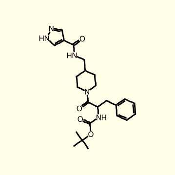 CC(C)(C)OC(=O)NC(Cc1ccccc1)C(=O)N1CCC(CNC(=O)c2cn[nH]c2)CC1